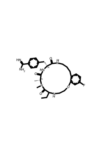 CCC1NCCOc2cc(F)ccc2CCCNC(=O)[C@@H](Cc2ccc(C(=N)N)cc2)NC(=O)[C@@H](C)N(C)C1=O